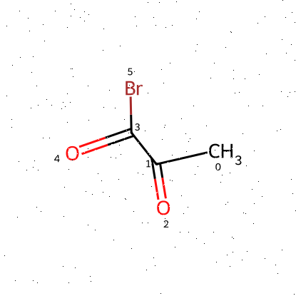 CC(=O)C(=O)Br